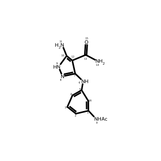 CC(=O)Nc1cccc(Nc2n[nH]c(N)c2C(N)=O)c1